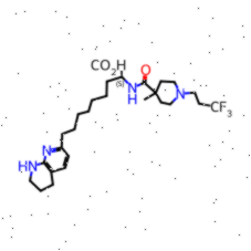 CC1(C(=O)N[C@@H](CCCCCCCc2ccc3c(n2)NCCC3)C(=O)O)CCN(CCC(F)(F)F)CC1